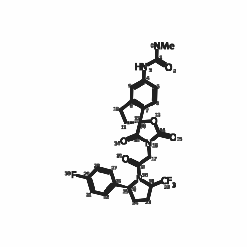 CNC(=O)Nc1ccc2c(c1)CC[C@@]21OC(=O)N(CC(=O)N2C(C(F)(F)F)CC[C@H]2c2ccc(F)cc2)C1=O